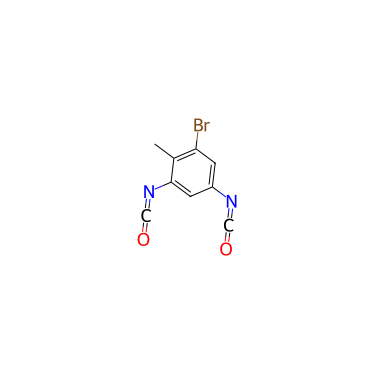 Cc1c(Br)cc(N=C=O)cc1N=C=O